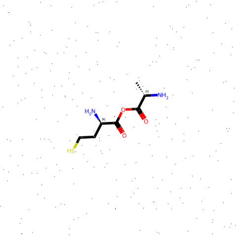 C[C@H](N)C(=O)OC(=O)[C@H](N)CCS